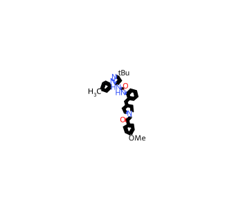 COc1ccc(C(=O)CN2CCC(Cc3ccccc3NC(=O)Nc3cc(C(C)(C)C)nn3-c3ccc(C)cc3)CC2)cc1